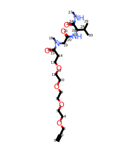 C#CCOCCOCCOCCOCCC(=O)N(C)CC(=O)N[C@H](C(=O)NC)C(C)C